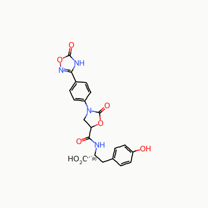 O=C(N[C@H](Cc1ccc(O)cc1)C(=O)O)C1CN(c2ccc(-c3noc(=O)[nH]3)cc2)C(=O)O1